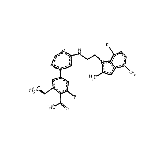 CCc1cc(-c2cc(NCCn3c(C)cc4c(C)ccc(F)c43)ncn2)cc(F)c1C(=O)O